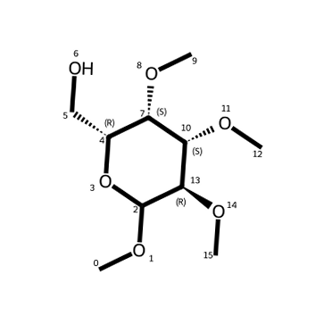 COC1O[C@H](CO)[C@H](OC)[C@H](OC)[C@H]1OC